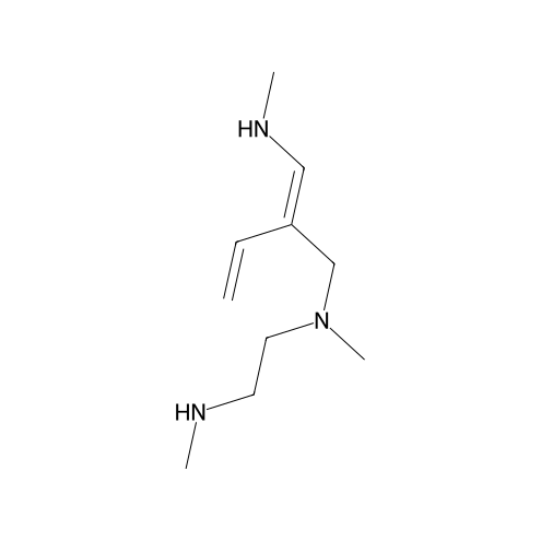 C=C/C(=C\NC)CN(C)CCNC